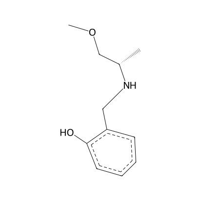 COC[C@H](C)NCc1ccccc1O